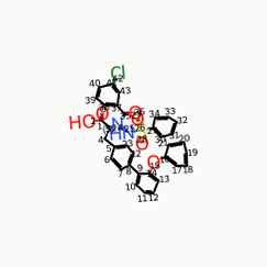 O=C(O)[C@H](Cc1ccc(-c2ccccc2Oc2ccccc2)cc1)N(NS(=O)(=O)c1ccccc1)C(=O)c1cccc(Cl)c1